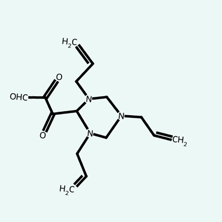 C=CCN1CN(CC=C)C(C(=O)C(=O)C=O)N(CC=C)C1